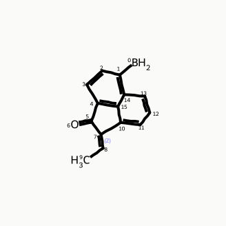 Bc1ccc2c(=O)/c(=C\C)c3cccc1c23